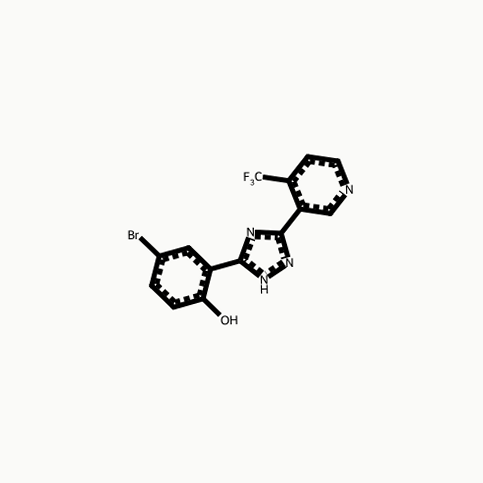 Oc1ccc(Br)cc1-c1nc(-c2cnccc2C(F)(F)F)n[nH]1